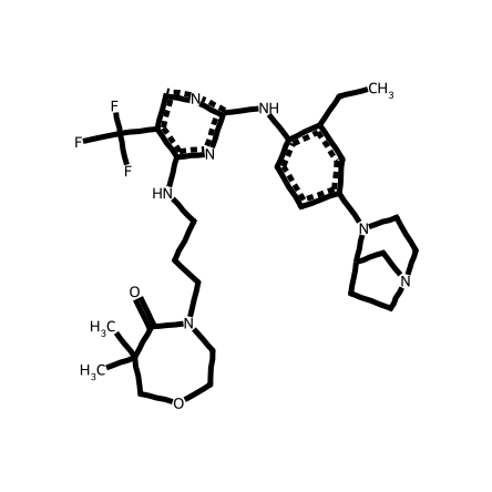 CCc1cc(N2CCN3CCC2C3)ccc1Nc1ncc(C(F)(F)F)c(NCCCN2CCOCC(C)(C)C2=O)n1